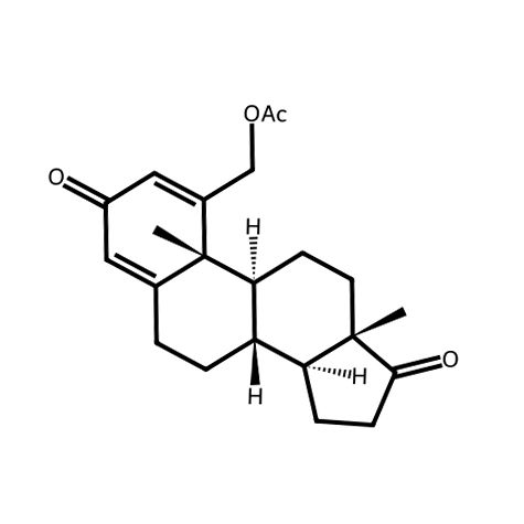 CC(=O)OCC1=CC(=O)C=C2CC[C@@H]3[C@H](CC[C@]4(C)C(=O)CC[C@@H]34)[C@]21C